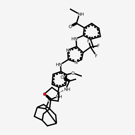 CNC(=O)c1cccc(C)c1Nc1nc(Nc2ccc(NC(=O)C34CC5CC(C3)C(N3CC[C@H](NC(C)=O)C3)C(C5)C4)cc2OC)ncc1C(F)(F)F